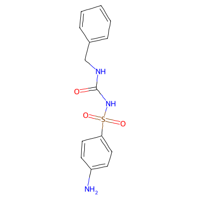 Nc1ccc(S(=O)(=O)NC(=O)NCc2ccccc2)cc1